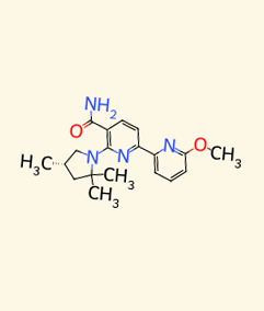 COc1cccc(-c2ccc(C(N)=O)c(N3C[C@@H](C)CC3(C)C)n2)n1